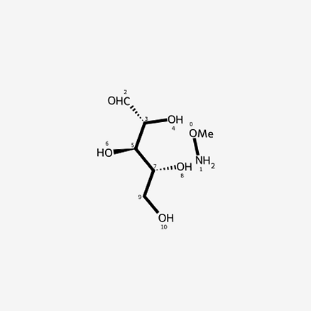 CON.O=C[C@H](O)[C@H](O)[C@H](O)CO